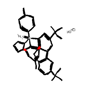 Cc1cc[c]([Zr](=[SiH2])([C]2=CC=CC2)([c]2ccc(C)cc2)[c]2cc(C(C)(C)C)cc3c2Cc2ccc(C(C)(C)C)cc2-3)cc1.Cl.Cl